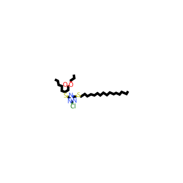 CCCCCCCCCCCCCCCCSc1nc(Cl)nc(SC(CCCCC)CC(=O)OCCC)n1